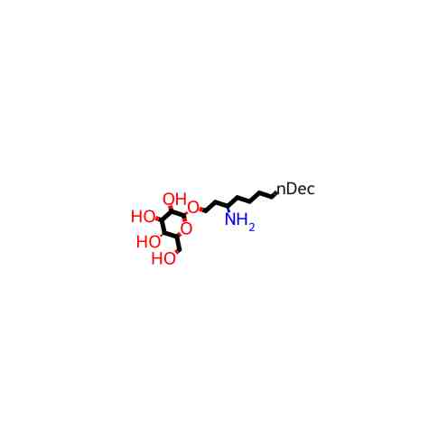 CCCCCCCCCCCCCC[C@@H](N)CCO[C@H]1OC(CO)[C@H](O)C(O)C1O